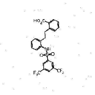 O=C(O)c1ccccc1CCc1ccccc1NS(=O)(=O)c1cc(C(F)(F)F)cc(C(F)(F)F)c1